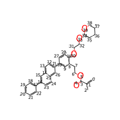 C=C(C)C(=O)OCCc1cc(-c2ccc3cc(-c4ccccc4)ccc3c2)ccc1OCCOC1CCCCO1